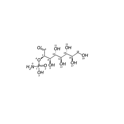 NP(=O)(O)O[C@@H](C=O)[C@H](O)[C@H](O)[C@H](O)[C@H](O)[C@H](O)CO